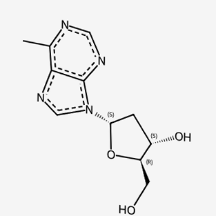 Cc1ncnc2c1ncn2[C@@H]1C[C@H](O)[C@@H](CO)O1